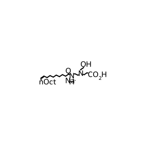 CCCCCCCC/C=C\CCCCCCCC(=O)NCCN(CCO)CCC(=O)O.[Na]